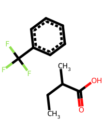 CCC(C)C(=O)O.FC(F)(F)c1ccccc1